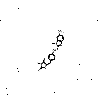 COc1ccc2nc(COc3ccc(CC4SC(=O)N(C)C4=O)cc3)n(C)c2c1